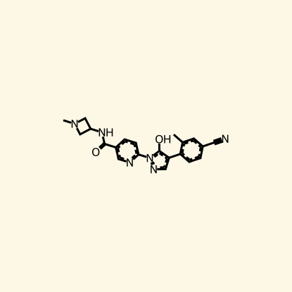 Cc1cc(C#N)ccc1-c1cnn(-c2ccc(C(=O)NC3CN(C)C3)cn2)c1O